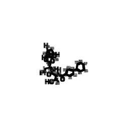 CC(C)C[C@H](NC(=O)[C@@H](NC(=O)c1ccc(-c2ccccc2)cc1)[C@@H](C)O)B1O[C@@H]2C[C@@H]3C[C@@H](C3(C)C)[C@]2(C)O1